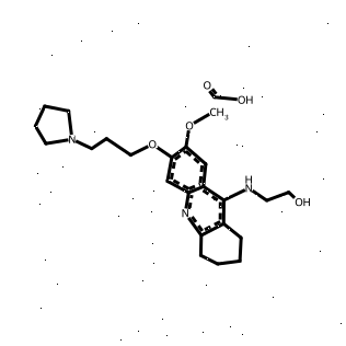 COc1cc2c(NCCO)c3c(nc2cc1OCCCN1CCCC1)CCCC3.O=CO